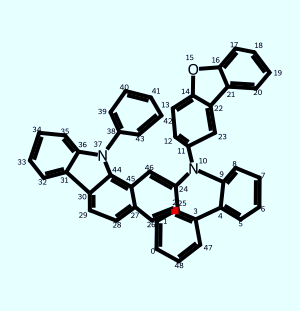 c1ccc(-c2ccccc2N(c2ccc3oc4ccccc4c3c2)c2ccc3ccc4c5ccccc5n(-c5ccccc5)c4c3c2)cc1